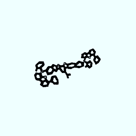 Cc1ccccc1N(c1ccc2cc3c(cc2c1)oc1c3cc(C(C)C)c2c3cc4ccc(N(c5ccccc5C)c5cccc6c5oc5c(-c7ccccc7)cccc56)cc4cc3oc12)c1cccc2c1oc1c(-c3ccccc3)cccc12